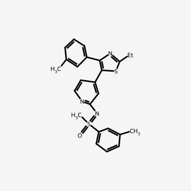 CCc1nc(-c2cccc(C)c2)c(-c2ccnc(N=S(C)(=O)c3cccc(C)c3)c2)s1